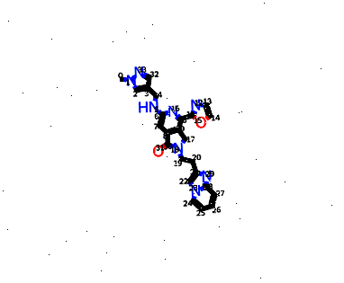 Cn1cc(CNc2cc3c(c(-c4ncco4)n2)CN(CCc2cn4ccccc4n2)C3=O)cn1